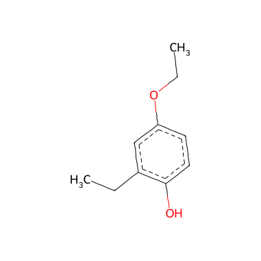 CCOc1ccc(O)c(CC)c1